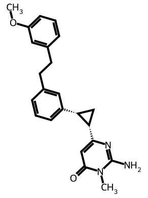 COc1cccc(CCc2cccc([C@@H]3C[C@@H]3c3cc(=O)n(C)c(N)n3)c2)c1